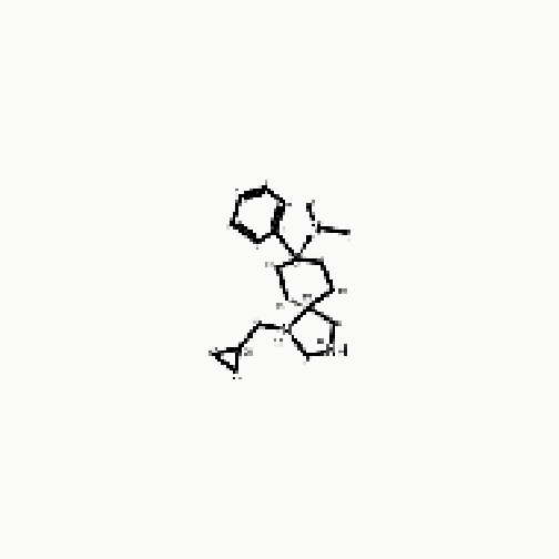 CN(C)[C@]1(c2ccccc2)CC[C@]2(CC1)CNCN2CC1CC1